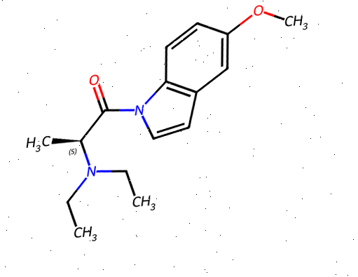 CCN(CC)[C@@H](C)C(=O)n1ccc2cc(OC)ccc21